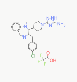 CN1c2ccccc2C=NC(Cc2ccc(Cl)cc2)[C@@H]1C1CCN(c2n[nH]c(N)n2)CC1.O=C(O)C(F)(F)F